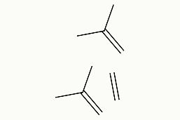 C=C.C=C(C)C.C=C(C)C